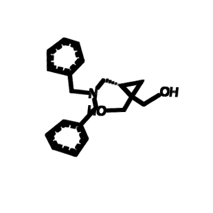 OCC1(CO)C[C@H]1CN(Cc1ccccc1)Cc1ccccc1